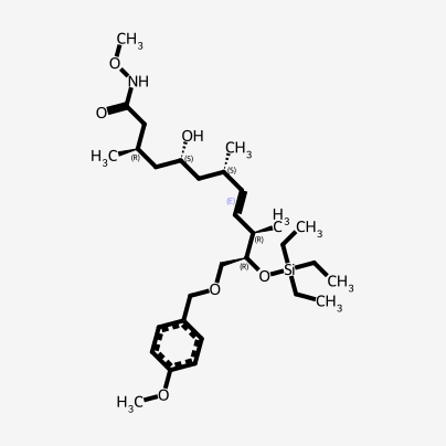 CC[Si](CC)(CC)O[C@@H](COCc1ccc(OC)cc1)[C@H](C)/C=C/[C@@H](C)C[C@@H](O)C[C@@H](C)CC(=O)NOC